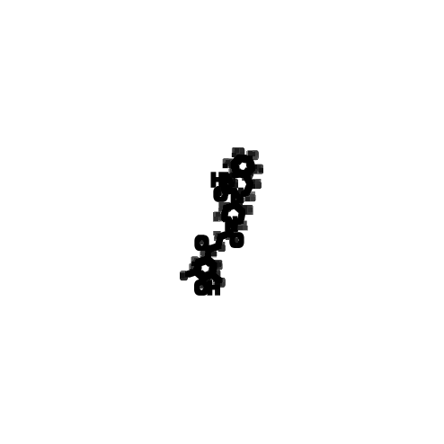 Cc1cc(C(=O)CCC(=O)N2CCC(N3CCc4ccccc4NC3=O)CC2)cc(C)c1O